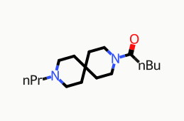 CCCCC(=O)N1CCC2(CCN(CCC)CC2)CC1